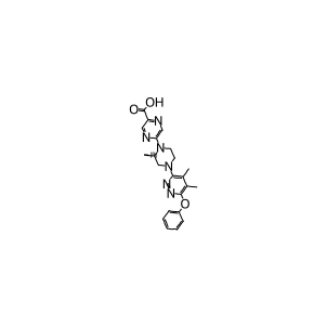 Cc1c(Oc2ccccc2)nnc(N2CCN(c3cnc(C(=O)O)cn3)[C@H](C)C2)c1C